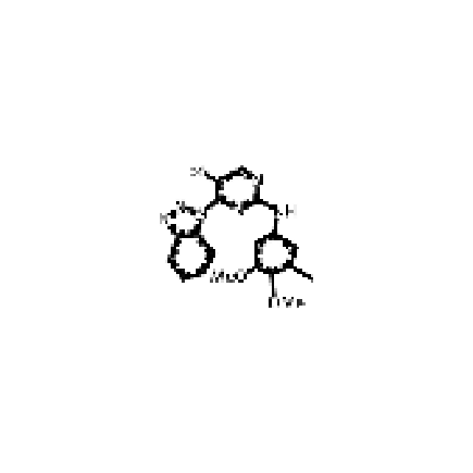 COc1cc(Nc2ncc(Br)c(-n3nnc4ccccc43)n2)cc(C)c1OC